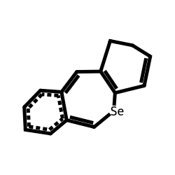 C1=CC2=C(C=c3ccccc3=C[Se]2)CC1